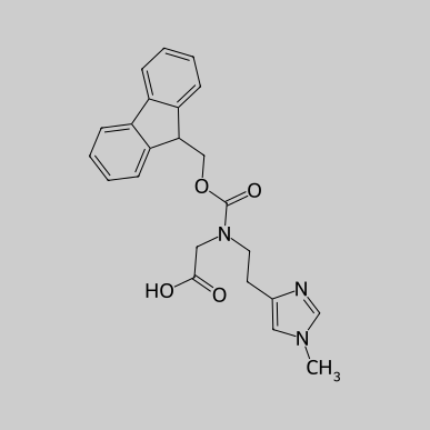 Cn1cnc(CCN(CC(=O)O)C(=O)OCC2c3ccccc3-c3ccccc32)c1